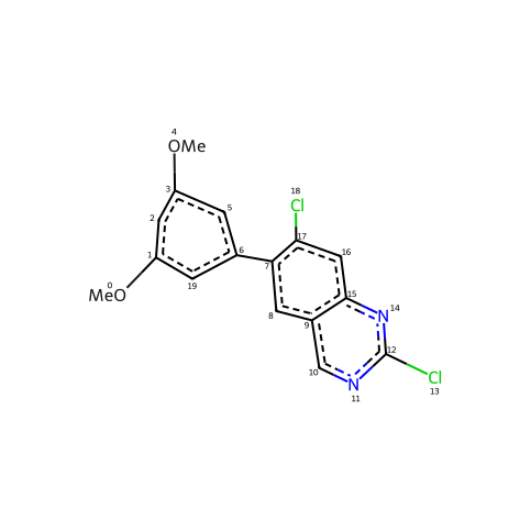 COc1cc(OC)cc(-c2cc3cnc(Cl)nc3cc2Cl)c1